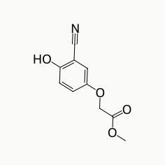 COC(=O)COc1ccc(O)c(C#N)c1